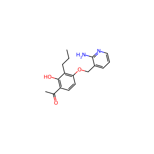 CCCc1c(OCc2cccnc2N)ccc(C(C)=O)c1O